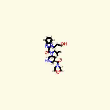 CC(C)CN(C(=O)c1nc2ccccc2n1CCCO)[C@@H]1CNC[C@H](C(=O)N2CCOCC2)C1